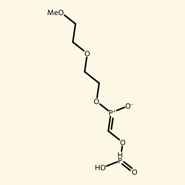 COCCOCCO[P+]([O-])=CO[PH](=O)O